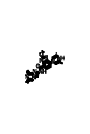 COc1nc2c(C(=O)Nc3cn4cc(C)nc(C)c4n3)ccc(N3C[C@H](C)N[C@@H](C)C3)c2s1